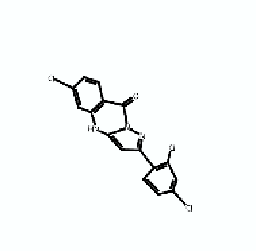 O=c1c2ccc(Cl)cc2[nH]c2cc(-c3ccc(Cl)cc3Cl)nn12